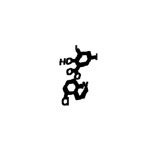 O=C(Oc1ccc(Cl)c2cccnc12)c1cc(I)cc(I)c1O